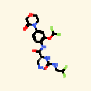 NC[C@@H](NC(=O)NCC(F)F)C(=O)Nc1ccc(N2CCOCC2=O)cc1OC(F)F